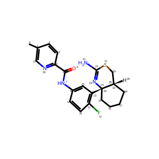 Cc1ccc(C(=O)Nc2ccc(F)c([C@]34CCCC[C@H]3CSC(N)=N4)c2)nc1